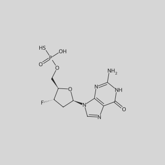 Nc1nc2c(ncn2[C@H]2C[C@H](F)[C@@H](COP(=O)(O)S)O2)c(=O)[nH]1